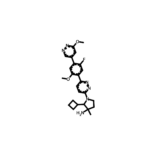 COc1cc(-c2cc(OC)c(-c3ccc(N4CCC(C)(N)C4C4CCC4)nn3)cc2F)cnn1